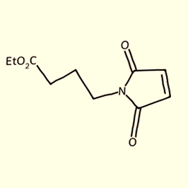 CCOC(=O)CCCN1C(=O)C=CC1=O